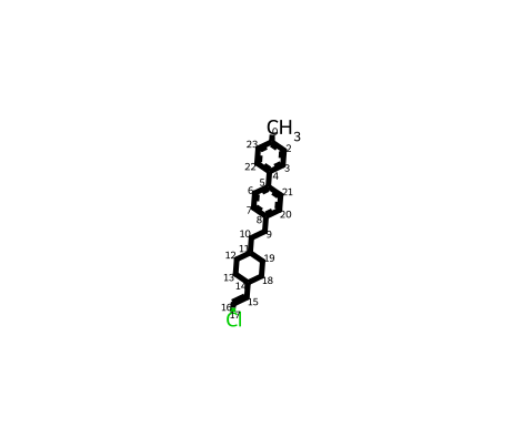 Cc1ccc(-c2ccc(CCC3CCC(/C=C/Cl)CC3)cc2)cc1